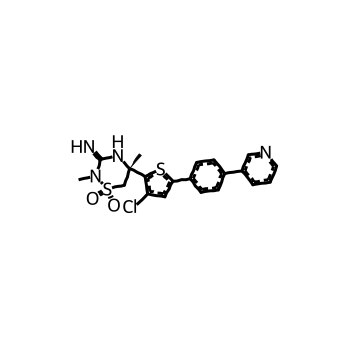 CN1C(=N)N[C@](C)(c2sc(-c3ccc(-c4cccnc4)cc3)cc2Cl)CS1(=O)=O